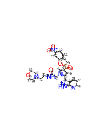 O=C(Cn1cc(S(=O)(=O)Cc2ccc([N+](=O)[O-])cc2)cc1-c1n[nH]c2ncccc12)NCCN1CCOCC1